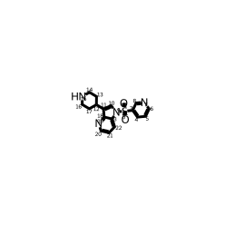 O=S(=O)(c1cccnc1)n1cc(C2CCNCC2)c2ncccc21